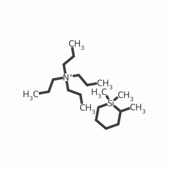 CC1CCCC[Si]1(C)C.CCC[N+](CCC)(CCC)CCC